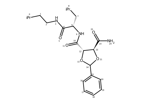 CC(C)CCNC(=O)[C@H](CC(C)C)NC(=O)[C@H]1OC(c2ccccc2)O[C@@H]1C(N)=O